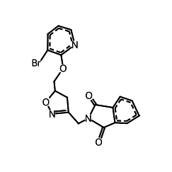 O=C1c2ccccc2C(=O)N1CC1=NOC(COc2ncccc2Br)C1